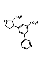 O=C(O)c1cc(-c2cccnc2)cc([C@H]2CCN[C@@H]2C(=O)O)c1